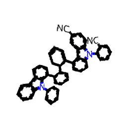 N#Cc1ccc2c(c1)c1c(C3=CC=CCC3c3ccccc3-c3cccc4c5ccccc5n(-c5ccccc5)c34)cccc1n2-c1ccccc1C#N